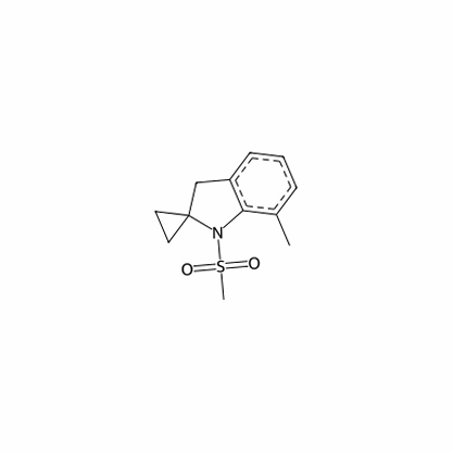 Cc1cccc2c1N(S(C)(=O)=O)C1(CC1)C2